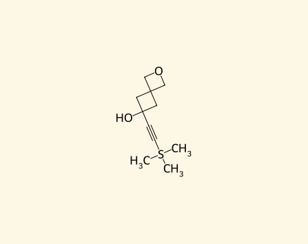 CS(C)(C)C#CC1(O)CC2(COC2)C1